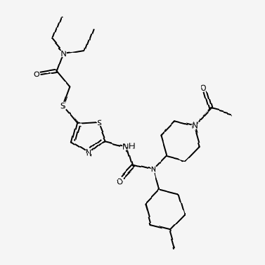 CCN(CC)C(=O)CSc1cnc(NC(=O)N(C2CCC(C)CC2)C2CCN(C(C)=O)CC2)s1